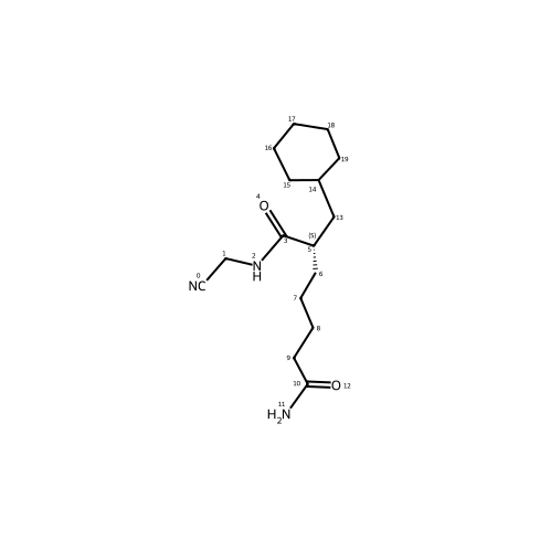 N#CCNC(=O)[C@@H](CCCCC(N)=O)CC1CCCCC1